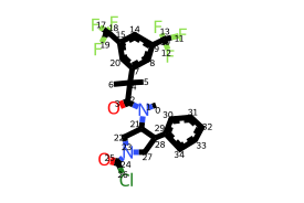 CN(C(=O)C(C)(C)c1cc(C(F)(F)F)cc(C(F)(F)F)c1)C1CN(C(=O)Cl)CC1c1ccccc1